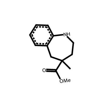 COC(=O)C1(C)CCNc2ccccc2C1